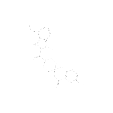 COc1cccc2c(C)c(C(=O)N3CCC4(CC3)NC(=O)c3cc(Br)ccc3O4)[nH]c12